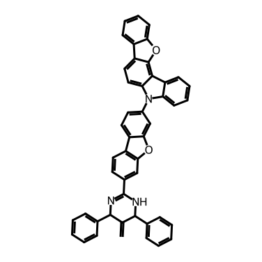 C=C1C(c2ccccc2)N=C(c2ccc3c(c2)oc2cc(-n4c5ccccc5c5c6oc7ccccc7c6ccc54)ccc23)NC1c1ccccc1